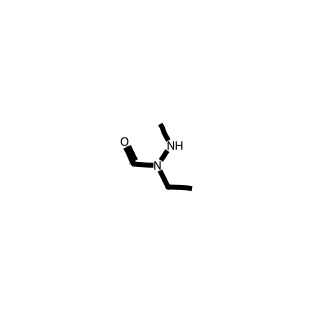 CCN([C]=O)NC